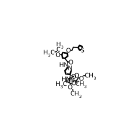 CCOC(=O)[C@H](C)NP(=O)(N[C@@H](C)C(=O)OCC)c1ccc(NC(=O)c2cc(OCCc3ccsc3)cc(OC(C)C)c2)nc1